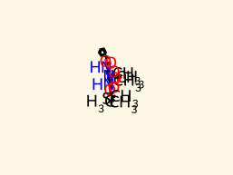 CC(C)(C)OC(=O)N(CCNC(=O)OCC[Si](C)(C)C)CCNC(=O)OCc1ccccc1